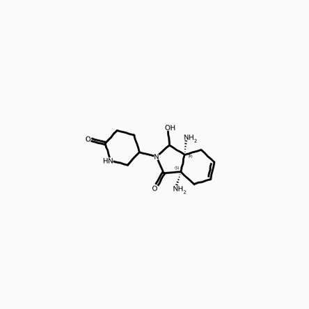 N[C@@]12CC=CC[C@]1(N)C(O)N(C1CCC(=O)NC1)C2=O